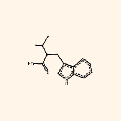 CC(C)C(Cc1c[nH]c2ccccc12)C(=O)O